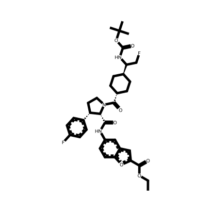 CCOC(=O)c1cc2cc(NC(=O)[C@@H]3[C@H](c4ccc(F)cc4)CCN3C(=O)[C@H]3CC[C@H](C(CF)NC(=O)OC(C)(C)C)CC3)ccc2o1